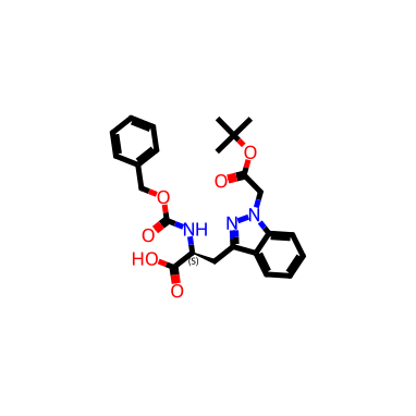 CC(C)(C)OC(=O)Cn1nc(C[C@H](NC(=O)OCc2ccccc2)C(=O)O)c2ccccc21